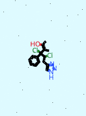 CC(O)=C(C)C(Cl)(c1ccccc1)C(Cl)Cc1c[nH]nn1